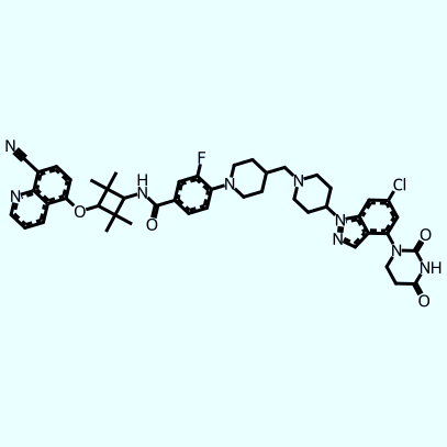 CC1(C)C(NC(=O)c2ccc(N3CCC(CN4CCC(n5ncc6c(N7CCC(=O)NC7=O)cc(Cl)cc65)CC4)CC3)c(F)c2)C(C)(C)C1Oc1ccc(C#N)c2ncccc12